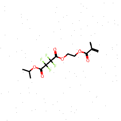 C=C(C)C(=O)OCCOC(=O)C(F)(F)C(F)(F)C(=O)OC(C)C